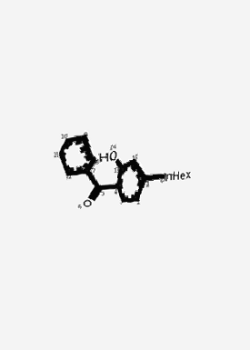 CCCCCCc1ccc(C(=O)c2ccccc2)c(O)c1